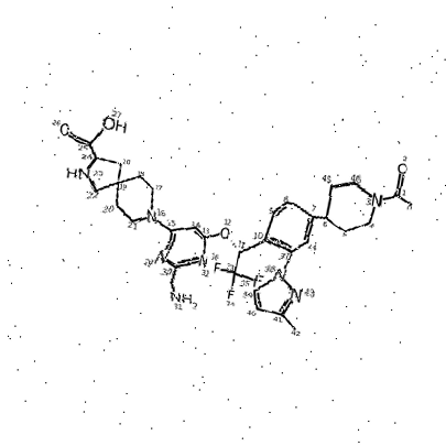 CC(=O)N1CCC(c2ccc([C@@H](Oc3cc(N4CCC5(CC4)CNC(C(=O)O)C5)nc(N)n3)C(F)(F)F)c(-n3ccc(C)n3)c2)CC1